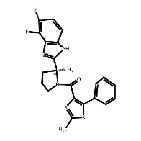 Cc1nc(C(=O)N2CCC[C@@]2(C)c2nc3c(F)c(F)ccc3[nH]2)c(-c2ccccc2)s1